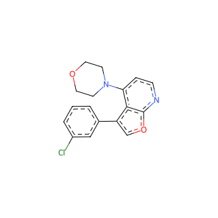 Clc1cccc(-c2coc3nccc(N4CCOCC4)c23)c1